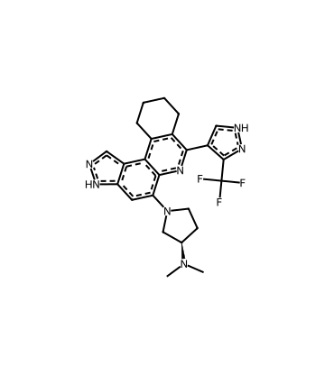 CN(C)[C@@H]1CCN(c2cc3[nH]ncc3c3c4c(c(-c5c[nH]nc5C(F)(F)F)nc23)CCCC4)C1